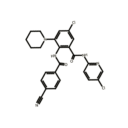 N#Cc1ccc(C(=O)Nc2c(C(=O)Nc3ccc(Cl)cn3)cc(Cl)cc2N2CCCCC2)cc1